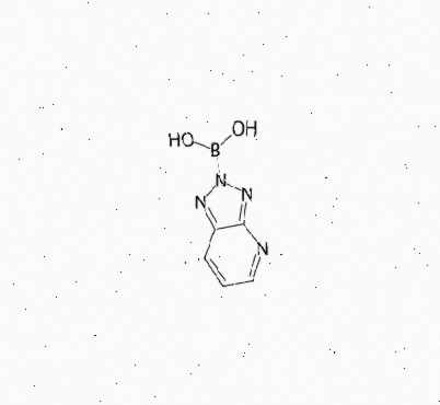 OB(O)n1nc2cccnc2n1